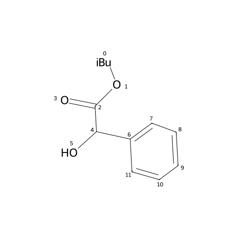 CCC(C)OC(=O)C(O)c1ccccc1